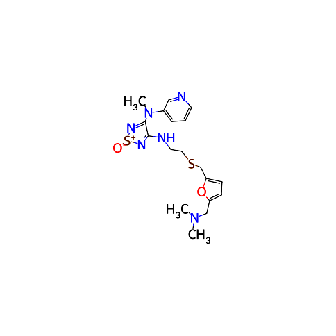 CN(C)Cc1ccc(CSCCNc2n[s+]([O-])nc2N(C)c2cccnc2)o1